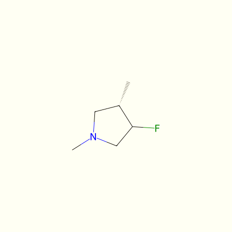 C[C@H]1CN(C)CC1F